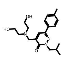 Cc1ccc(-c2cc(CN(CCO)CCO)c(=O)n(CC(C)C)n2)cc1